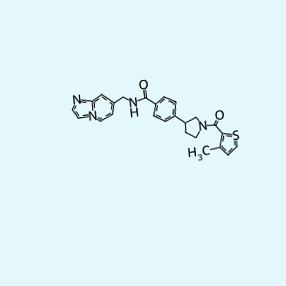 Cc1ccsc1C(=O)N1CCC(c2ccc(C(=O)NCc3ccn4ccnc4c3)cc2)C1